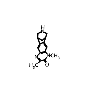 Cc1nc2cc3c(cc2n(C)c1=O)C1CNCC3C1